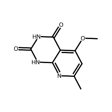 COc1cc(C)nc2[nH]c(=O)[nH]c(=O)c12